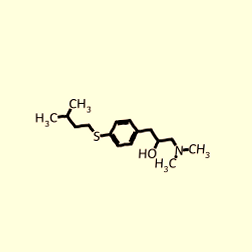 CC(C)CCSc1ccc(CC(O)CN(C)C)cc1